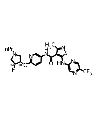 CCCN1C[C@H](F)[C@H](Oc2ccc(NC(=O)c3c(C)nsc3Nc3cnc(C(F)(F)F)cn3)cn2)C1